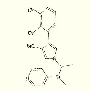 CC(N(C)c1ccncc1)n1cc(C#N)c(-c2cccc(Cl)c2Cl)c1